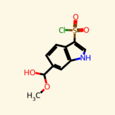 COC(O)c1ccc2c(S(=O)(=O)Cl)c[nH]c2c1